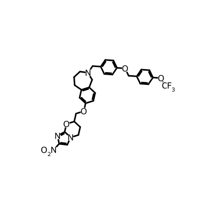 O=[N+]([O-])c1cn2c(n1)OC(COc1ccc3c(c1)CCCN(Cc1ccc(OCc4ccc(OC(F)(F)F)cc4)cc1)C3)CC2